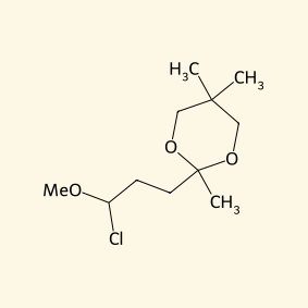 COC(Cl)CCC1(C)OCC(C)(C)CO1